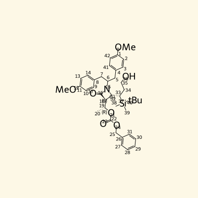 COc1ccc(CC(Cc2ccc(OC)cc2)N2C(=O)[C@H]([C@@H](C)OC(=O)OCc3ccccc3)[C@H]2C(CCO)[Si](C)(C)C(C)(C)C)cc1